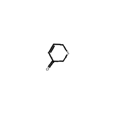 O=C1C=CCSC1